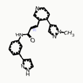 Cn1cc(-c2ccncc2/C=C/C(=O)Nc2cccc(-c3cc[nH]n3)c2)cn1